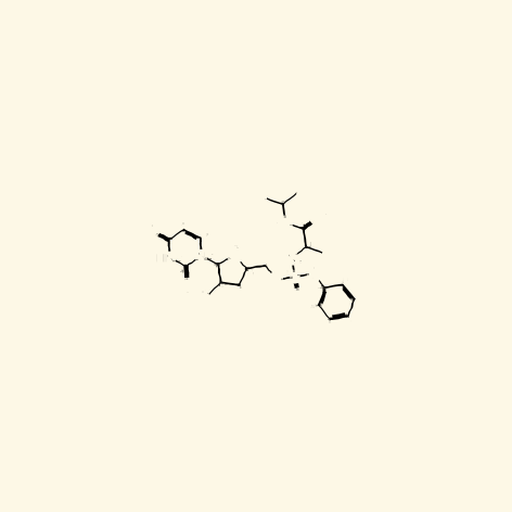 CC(C)OC(=O)C(C)NP(=O)(OCC1CC(C)C(n2ccc(=O)[nH]c2=O)O1)Oc1ccccc1